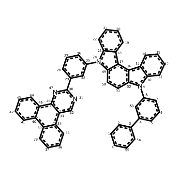 c1ccc(-c2cccc(-n3c4ccccc4c4c5c6ccccc6n(-c6cccc(-c7ncc8c9ccccc9c9ccccc9c8n7)c6)c5ccc43)c2)cc1